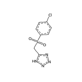 O=S(=O)(Cc1nnn[nH]1)c1ccc(Cl)cc1